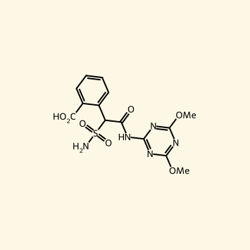 COc1nc(NC(=O)C(c2ccccc2C(=O)O)S(N)(=O)=O)nc(OC)n1